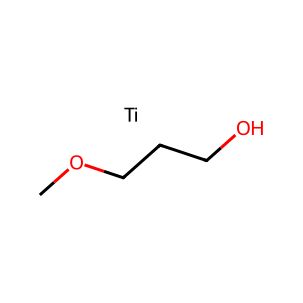 COCCCO.[Ti]